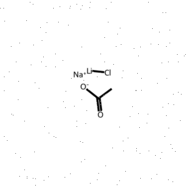 CC(=O)[O-].[Li][Cl].[Na+]